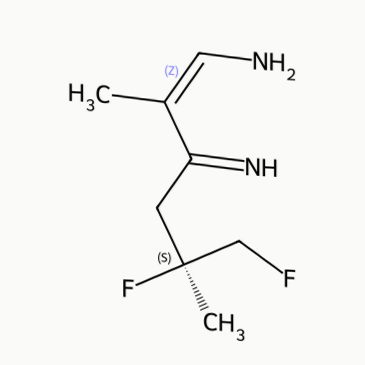 C/C(=C/N)C(=N)C[C@](C)(F)CF